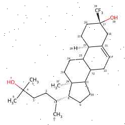 CC(CCC(C)(C)O)[C@H]1CCC2C3CC=C4C[C@](O)(C(F)(F)F)CC[C@@H]4C3CC[C@@]21C